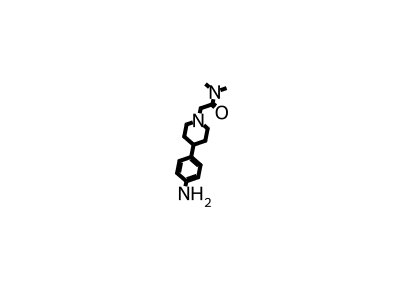 CN(C)C(=O)CN1CCC(c2ccc(N)cc2)CC1